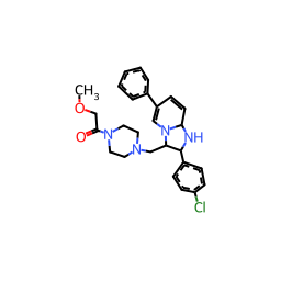 COCC(=O)N1CCN(CC2C(c3ccc(Cl)cc3)NC3C=CC(c4ccccc4)=CN32)CC1